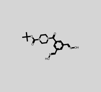 CC(C)(C)OC(=O)N1CCN(C(=O)c2cc(C=NO)cc(C=NO)c2)CC1